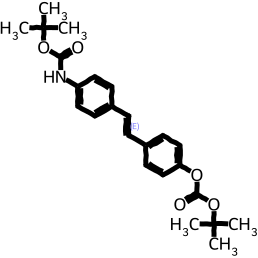 CC(C)(C)OC(=O)Nc1ccc(/C=C/c2ccc(OC(=O)OC(C)(C)C)cc2)cc1